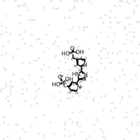 O=P(O)(O)Cc1ccnc(-c2nnc(-c3cc(CP(=O)(O)O)ccn3)[nH]2)c1